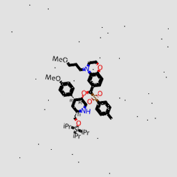 COCCCN1CCOc2ccc(C(O[C@H]3CN[C@H](CO[Si](C(C)C)(C(C)C)C(C)C)C[C@@H]3c3ccc(OC)cc3)S(=O)(=O)c3ccc(C)cc3)cc21